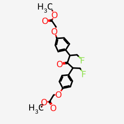 COC(=O)COc1ccc(C(CF)C(=O)C(CF)c2ccc(OCC(=O)OC)cc2)cc1